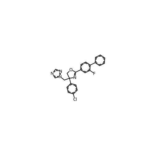 Fc1cc(C2=NC(Cn3cncn3)(c3ccc(Cl)cc3)CO2)ccc1-c1ccccc1